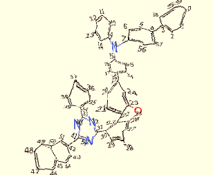 c1ccc(-c2ccc(N(c3ccccc3)c3ccc(-c4ccc5c(c4)oc4cccc(-c6nc(-c7ccccc7)nc(-c7ccc8ccccc8c7)n6)c45)cc3)cc2)cc1